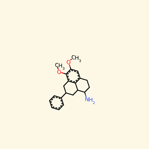 COc1cc2c3c(c1OC)CC(c1ccccc1)CC3C(N)CC2